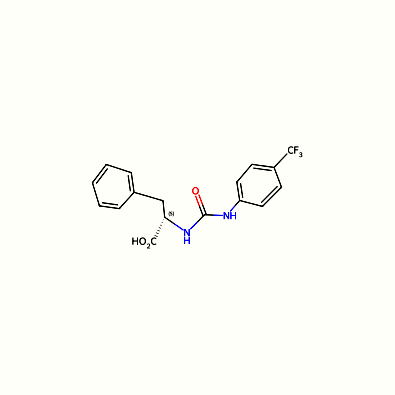 O=C(Nc1ccc(C(F)(F)F)cc1)N[C@@H](Cc1ccccc1)C(=O)O